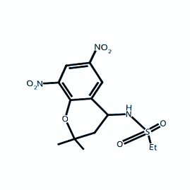 CCS(=O)(=O)NC1CC(C)(C)Oc2c1cc([N+](=O)[O-])cc2[N+](=O)[O-]